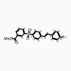 COC(=O)c1cccc(S(=O)(=O)c2ccc(/C=C/c3ccc(F)cc3)cc2)c1